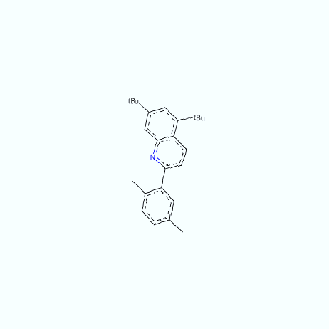 Cc1ccc(C)c(-c2ccc3c(C(C)(C)C)cc(C(C)(C)C)cc3n2)c1